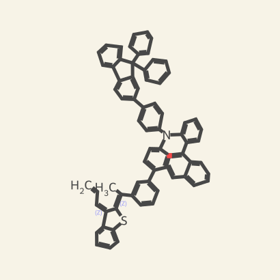 C=C/C=c1\c(=C(/C)c2cccc(-c3ccc(N(c4ccc(-c5ccc6c(c5)C(c5ccccc5)(c5ccccc5)c5ccccc5-6)cc4)c4ccccc4-c4cccc5ccccc45)cc3)c2)sc2ccccc12